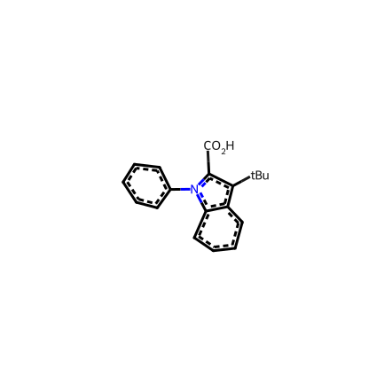 CC(C)(C)c1c(C(=O)O)n(-c2ccccc2)c2ccccc12